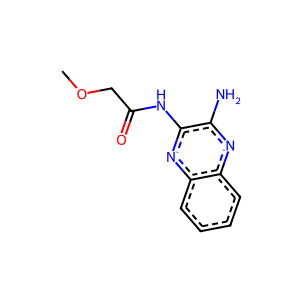 COCC(=O)Nc1nc2ccccc2nc1N